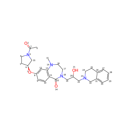 CC(=O)N1CC[C@H](Oc2ccc3c(c2)N(C)CCN(CC(O)CN2CCc4ccccc4C2)C3=O)C1